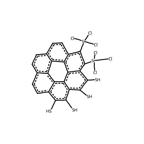 Sc1c(S)c2c(S)c(S)c3c([Si](Cl)(Cl)Cl)c([Si](Cl)(Cl)Cl)c4ccc5ccc6ccc1c1c6c5c4c3c21